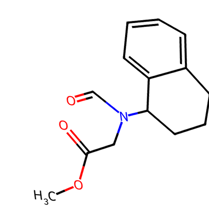 COC(=O)CN(C=O)C1CCCc2ccccc21